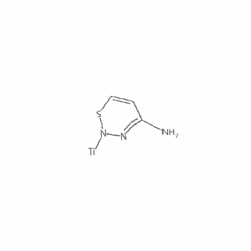 NC1=N[N]([Ti])SC=C1